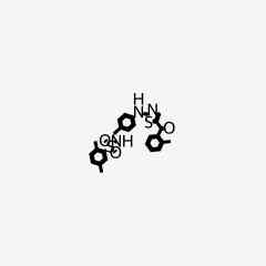 Cc1ccc(C)c(S(=O)(=O)NCc2ccc(Nc3ncc(C(=O)c4ccccc4C)s3)cc2)c1